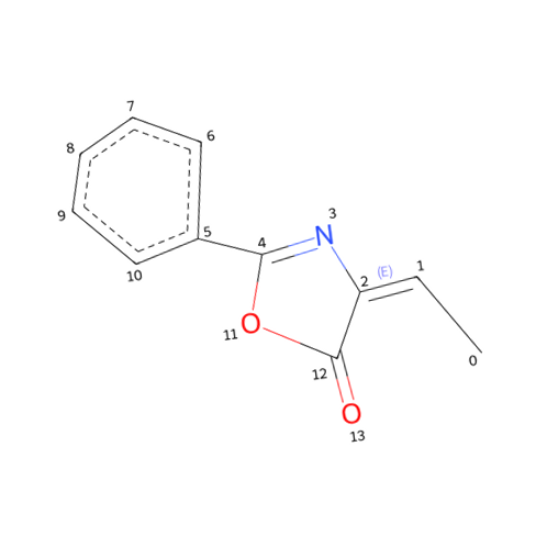 C/C=C1/N=C(c2ccccc2)OC1=O